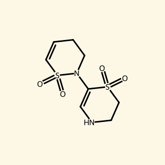 O=S1(=O)CCNC=C1N1CCC=CS1(=O)=O